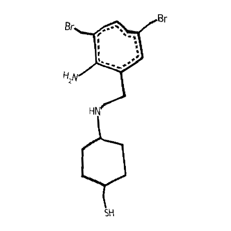 Nc1c(Br)cc(Br)cc1CNC1CCC(S)CC1